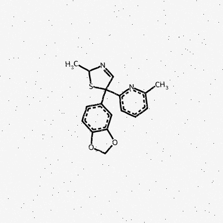 Cc1cccc(C2(c3ccc4c(c3)OCO4)C=NC(C)S2)n1